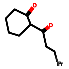 CC(C)CCC(=O)C1CCCCC1=O